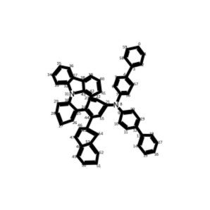 c1ccc(-c2ccc(N(c3ccc(-c4ccccc4)cc3)c3ccc(-c4ccccc4-n4c5ccccc5c5ccccc54)c(-c4ccc5ccccc5c4)c3)cc2)cc1